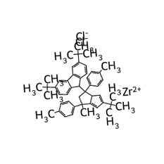 Cc1ccc(C2(C)CC(c3ccc(C)cc3)(C3c4ccc(C(C)(C)C)cc4-c4cc(C(C)(C)C)ccc43)C3C=C(C(C)(C)C)C=C32)cc1.[Cl-].[Cl-].[Zr+2]